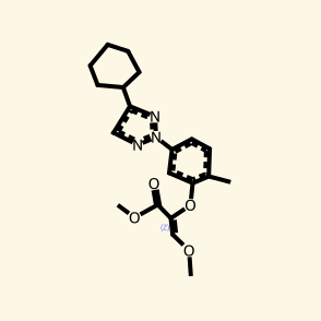 CO/C=C(\Oc1cc(-n2ncc(C3CCCCC3)n2)ccc1C)C(=O)OC